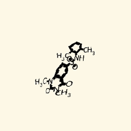 Cc1cccc(C)c1NS(=O)(=O)c1ccc2c(c1)c(=O)n(C)c(=O)n2C